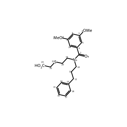 COc1cc(OC)cc(C(=O)N(CCCc2ccccc2)CCSCC(=O)O)c1